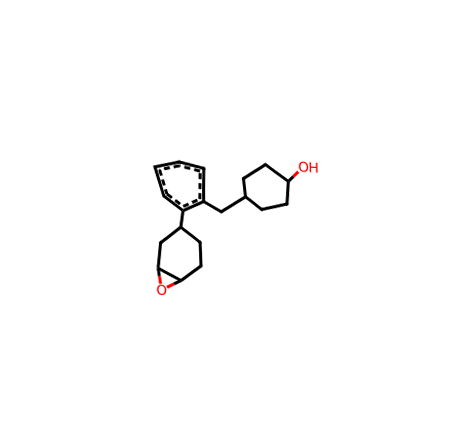 OC1CCC(Cc2ccccc2C2CCC3OC3C2)CC1